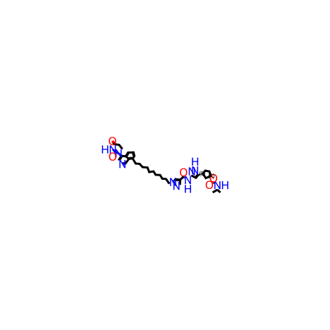 CC(C)NC(=O)O[C@@H]1CC[C@H](c2cc(NC(=O)c3cnn(CCCCCCCCCCCc4cccc5c(N6CCC(=O)NC6=O)cncc45)c3)n[nH]2)C1